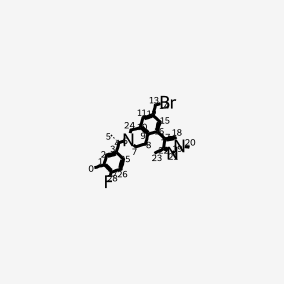 Cc1cc([C@H](C)N2CCc3c(cc(CBr)cc3-c3cn(C)nc3C)C2)ccc1F